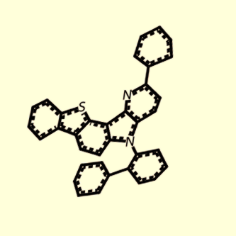 c1ccc(-c2ccc3c(n2)c2c4sc5ccccc5c4ccc2n3-c2ccccc2-c2ccccc2)cc1